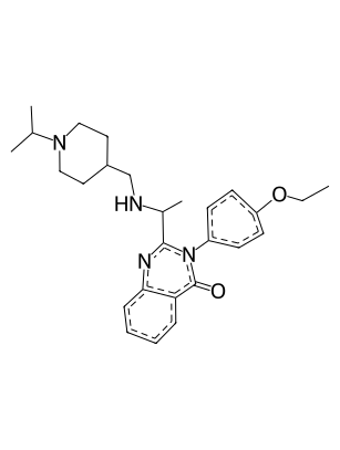 CCOc1ccc(-n2c(C(C)NCC3CCN(C(C)C)CC3)nc3ccccc3c2=O)cc1